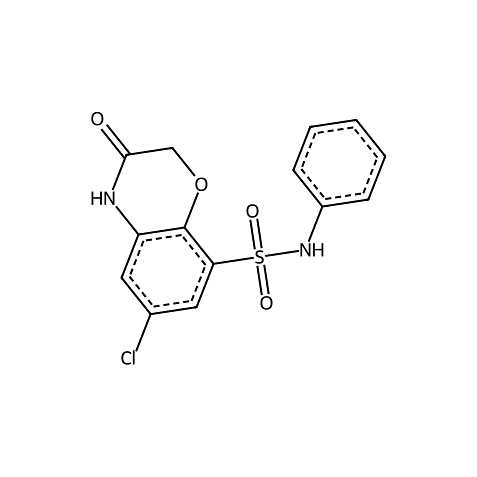 O=C1COc2c(cc(Cl)cc2S(=O)(=O)Nc2ccccc2)N1